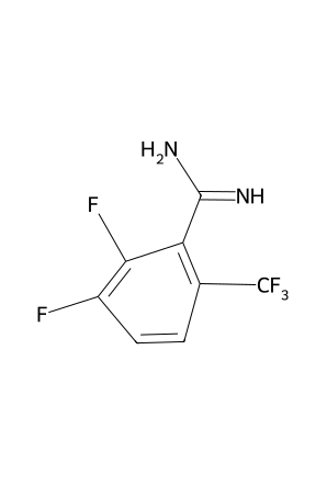 N=C(N)c1c(C(F)(F)F)ccc(F)c1F